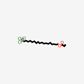 C=CC(=O)OCCCCCCCCCCCCCCCCCC[Si](Cl)(Cl)Cl